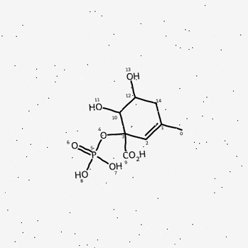 CC1=CC(OP(=O)(O)O)(C(=O)O)C(O)C(O)C1